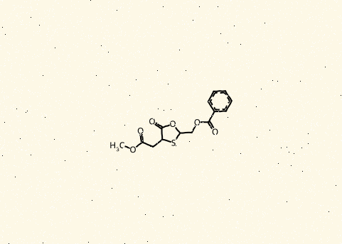 COC(=O)CC1SC(COC(=O)c2ccccc2)OC1=O